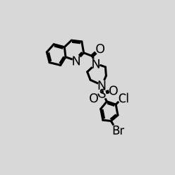 O=C(c1ccc2ccccc2n1)N1CCN(S(=O)(=O)c2ccc(Br)cc2Cl)CC1